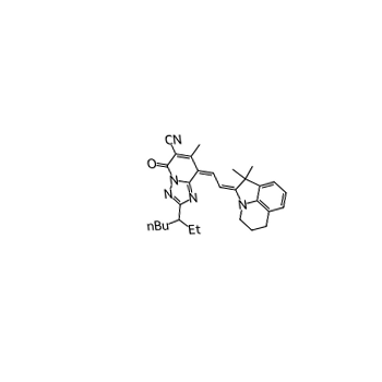 CCCCC(CC)c1nc2/c(=C\C=C3\N4CCCc5cccc(c54)C3(C)C)c(C)c(C#N)c(=O)n2n1